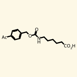 CC(=O)c1ccc(COC(=O)NCCCCCC(=O)O)cc1